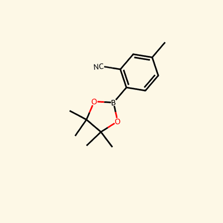 Cc1ccc(B2OC(C)(C)C(C)(C)O2)c(C#N)c1